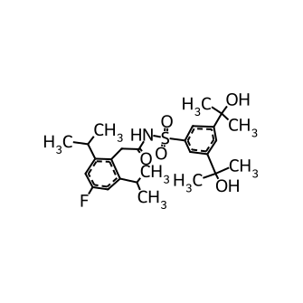 CC(C)c1cc(F)cc(C(C)C)c1CC(=O)NS(=O)(=O)c1cc(C(C)(C)O)cc(C(C)(C)O)c1